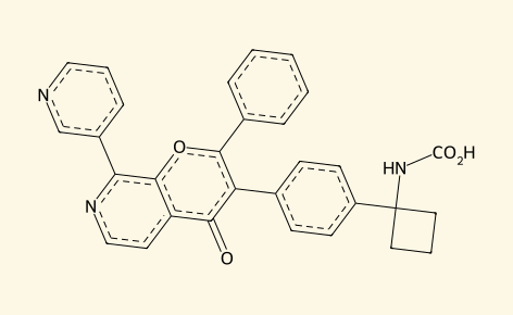 O=C(O)NC1(c2ccc(-c3c(-c4ccccc4)oc4c(-c5cccnc5)nccc4c3=O)cc2)CCC1